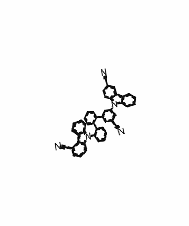 N#Cc1cc(-c2ccccc2-c2ccccc2-n2c3ccccc3c3c(C#N)cccc32)cc(-n2c3ccccc3c3cc(C#N)ccc32)c1